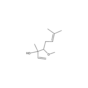 C=CC(C)(O)C(CC=C(C)C)OC